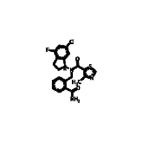 Cc1ncsc1C(=O)N(Cc1ccccc1C(N)=O)[C@@H]1CCc2c(F)cc(Cl)cc21